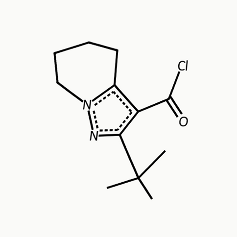 CC(C)(C)c1nn2c(c1C(=O)Cl)CCCC2